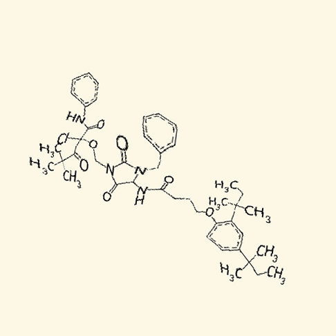 CCC(C)(C)c1ccc(OCCCC(=O)NC2C(=O)N(COC(Cl)(C(=O)Nc3ccccc3)C(=O)C(C)(C)C)C(=O)N2Cc2ccccc2)c(C(C)(C)CC)c1